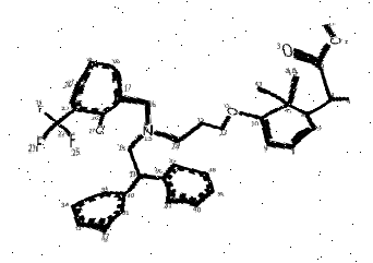 COC(=O)C(C)C1C=CC=C(OCCCN(Cc2cccc(C(F)(F)F)c2Cl)CC(c2ccccc2)c2ccccc2)C1(C)C